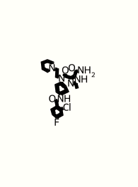 Cc1nc(C(=O)N(CCN2CCCCC2)c2ccc(NC(=O)c3ccc(F)cc3Cl)cc2)c(C(N)=O)[nH]1